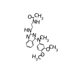 COc1ccc(N(C)c2nc(NCCNC(C)=O)nc3ccccc23)cc1OC